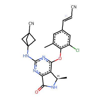 Cc1cc(/C=C/C#N)cc(Cl)c1Oc1nc(NC23CC(C#N)(C2)C3)nc2c1[C@@H](C)NC2=O